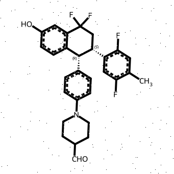 Cc1cc(F)c([C@H]2CC(F)(F)c3cc(O)ccc3[C@H]2c2ccc(N3CCC(C=O)CC3)cc2)cc1F